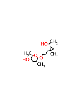 C=C(O)[C@@H]1C[C@@]1(C)CCCO[C@@H]1O[C@@H](C)[C@H](O)C[C@H]1C